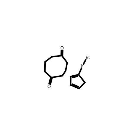 C[CH2][Ir][C]1=CC=CC1.O=C1CCCC(=O)CCC1